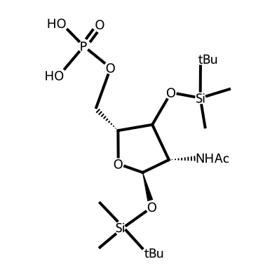 CC(=O)N[C@H]1C(O[Si](C)(C)C(C)(C)C)[C@@H](COP(=O)(O)O)O[C@@H]1O[Si](C)(C)C(C)(C)C